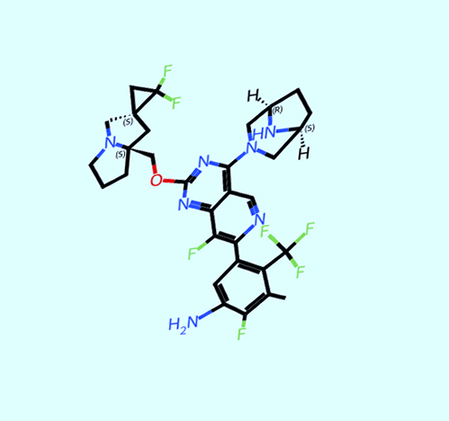 Cc1c(F)c(N)cc(-c2ncc3c(N4C[C@H]5CC[C@@H](C4)N5)nc(OC[C@@]45CCCN4C[C@@]4(CC4(F)F)C5)nc3c2F)c1C(F)(F)F